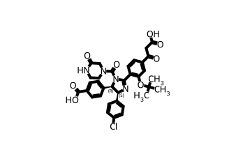 CC(C)(C)Oc1cc(C(=O)CC(=O)O)ccc1C1=N[C@@H](c2ccc(Cl)cc2)[C@@H](c2ccc(C(=O)O)cc2)N1C(=O)N1CCNC(=O)C1